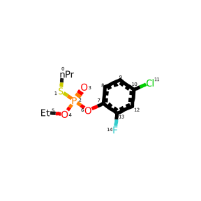 CCCSP(=O)(OCC)Oc1ccc(Cl)cc1F